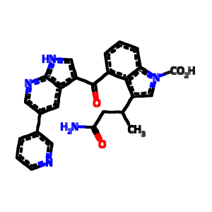 CC(CC(N)=O)c1cn(C(=O)O)c2cccc(C(=O)c3c[nH]c4ncc(-c5cccnc5)cc34)c12